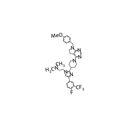 COc1ccc(CN2CCc3c(N4CCC(c5nc(-c6ccc(F)c(C(F)(F)F)c6)cn5CCN(C)C)CC4)ncnc32)cc1